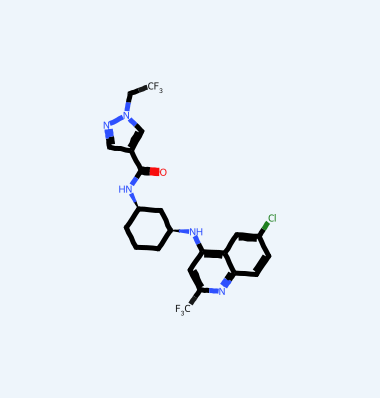 O=C(N[C@@H]1CCC[C@H](Nc2cc(C(F)(F)F)nc3ccc(Cl)cc23)C1)c1cnn(CC(F)(F)F)c1